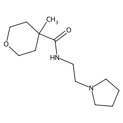 CC1(C(=O)NCCN2CCCC2)CCOCC1